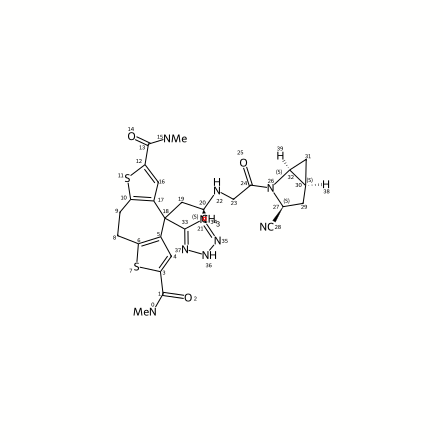 CNC(=O)c1cc2c(s1)CCc1sc(C(=O)NC)cc1C2(C[C@H](C)NCC(=O)N1[C@H](C#N)C[C@@H]2C[C@@H]21)c1nn[nH]n1